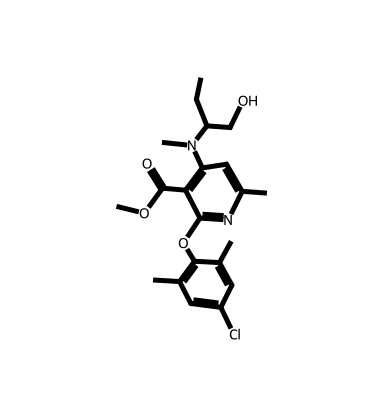 CCC(CO)N(C)c1cc(C)nc(Oc2c(C)cc(Cl)cc2C)c1C(=O)OC